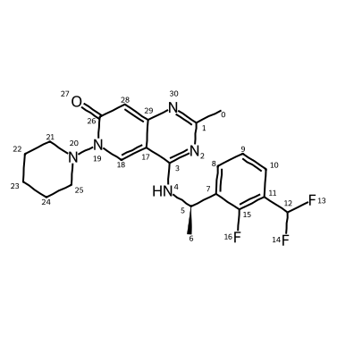 Cc1nc(N[C@H](C)c2cccc(C(F)F)c2F)c2cn(N3CCCCC3)c(=O)cc2n1